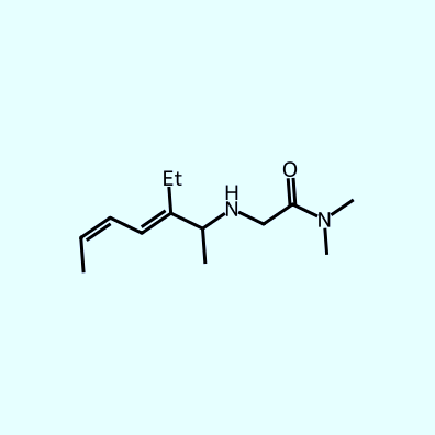 C/C=C\C=C(/CC)C(C)NCC(=O)N(C)C